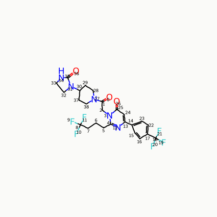 O=C(Cn1c(CCCC(F)(F)F)nc(-c2ccc(C(F)(F)F)cc2)cc1=O)N1CCC(N2CCNC2=O)CC1